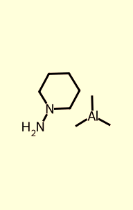 NN1CCCCC1.[CH3][Al]([CH3])[CH3]